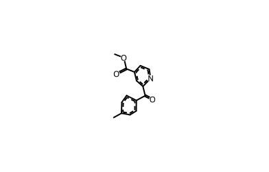 COC(=O)c1ccnc(C(=O)c2ccc(C)cc2)c1